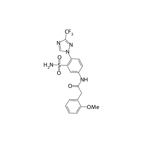 COc1ccccc1CC(=O)Nc1ccc(-n2cnc(C(F)(F)F)n2)c(S(N)(=O)=O)c1